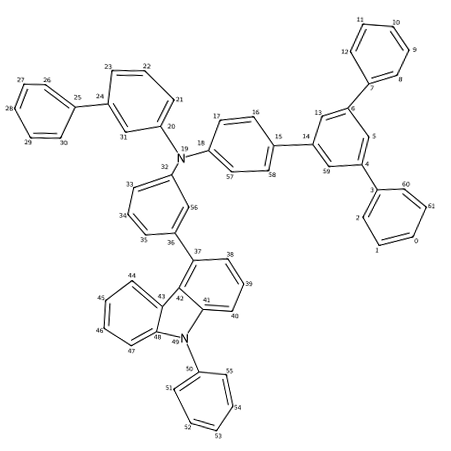 c1ccc(-c2cc(-c3ccccc3)cc(-c3ccc(N(c4cccc(-c5ccccc5)c4)c4cccc(-c5cccc6c5c5ccccc5n6-c5ccccc5)c4)cc3)c2)cc1